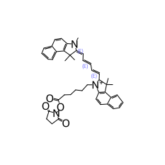 CN1/C(=C/C=C/C=C/C2=[N+](CCCCCC(=O)ON3C(=O)CCC3=O)c3ccc4ccccc4c3C2(C)C)C(C)(C)c2c1ccc1ccccc21